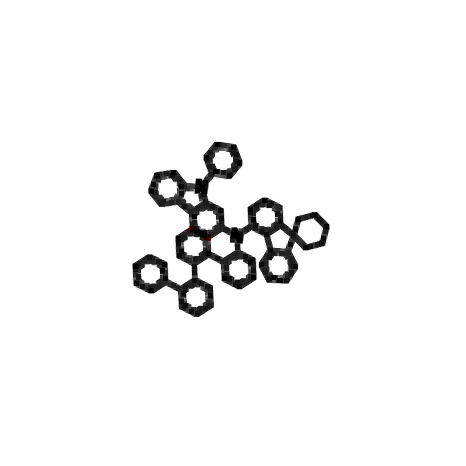 c1ccc(-c2ccccc2-c2ccccc2-c2ccccc2N(c2ccc3c4ccccc4n(-c4ccccc4)c3c2)c2cccc3c2-c2ccccc2C32CCCCC2)cc1